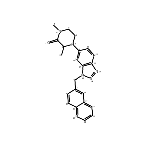 CC1C(=O)N(C)CCN1c1cnc2nnn(Cc3ccc4ncccc4c3)c2n1